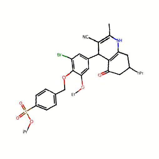 CCCC1CC(=O)C2=C(C1)NC(C)=C(C#N)C2c1cc(Br)c(OCc2ccc(S(=O)(=O)OC(C)C)cc2)c(OCC)c1